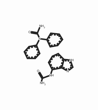 NC(=O)N(c1ccccc1)c1ccccc1.NC(=O)Nc1cccc2[nH]cnc12